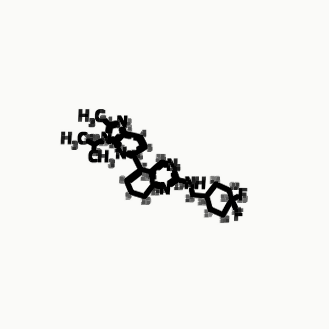 Cc1nc2ccc(C3=CCCc4nc(NCC5CCC(F)(F)CC5)ncc43)nc2n1C(C)C